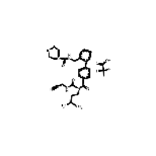 CC(C)CCN(C(=O)NCC#N)C(=O)c1ccc(-c2ccccc2CNC(=O)N2CCNCC2)cc1.O=C(O)C(F)(F)F